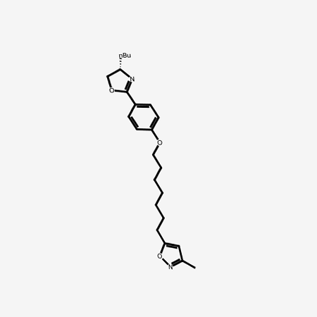 CCCC[C@H]1COC(c2ccc(OCCCCCCCc3cc(C)no3)cc2)=N1